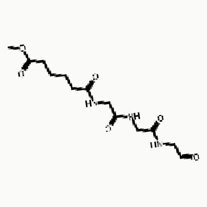 COC(=O)CCCCC(=O)NCC(=O)NCC(=O)NCC=O